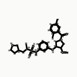 COC1CN(C(=O)c2cc(C)ccc2C)CC1Oc1cccc(NS(=O)(=O)N(C)CC2CCOC2)c1